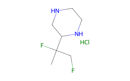 CC(F)(CF)C1CNCCN1.Cl